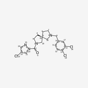 O=C(N1CC[C@]2(CCN(Cc3ccc(Cl)c(Cl)c3)C2)C1)n1cc(Cl)cn1